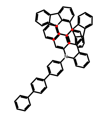 c1ccc(-c2ccc(-c3ccc(N(c4ccc5c(c4)C4(c6ccccc6-c6ccccc64)c4cccc6c7ccccc7n-5c46)c4ccccc4-c4cccc(-c5ccccc5)c4)cc3)cc2)cc1